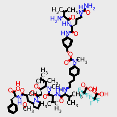 CC[C@H](C)[C@@H]([C@@H](CC(=O)N1CCC[C@H]1[C@H](OC)[C@@H](C)C(=O)N[C@@H](Cc1ccccc1)C(=O)O)OC)N(C)C(=O)[C@@H](NC(=O)[C@@H](NCCCc1ccc(N(C)C(=O)OCc2ccc(NC(=O)[C@H](CCCNC(N)=O)NC(=O)[C@@H](N)C(C)C)cc2)cc1)C(C)C)C(C)C.O=C(O)C(F)(F)F.O=C(O)C(F)(F)F